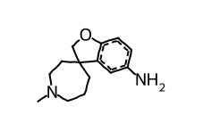 CN1CCCC2(CC1)COc1ccc(N)cc12